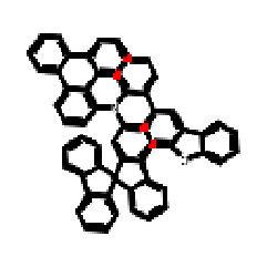 c1ccc(N(c2ccc3c(c2)C2(c4ccccc4-c4ccccc42)c2ccccc2-3)c2cccc3c4ccccc4c4ccccc4c23)c(-c2ccc3oc4ccccc4c3c2)c1